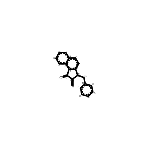 C=C1C(=O)c2c(ccc3ccccc23)C1Cc1ccccc1